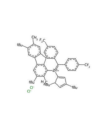 CCCCC1C=C(C(C)(C)C)C=[C]1[Zr+2](=[C](c1ccc(C(F)(F)F)cc1)c1ccc(C(F)(F)F)cc1)[c]1c(C)c(C(C)(C)C)cc2c1Cc1cc(C)c(C(C)(C)C)cc1-2.[Cl-].[Cl-]